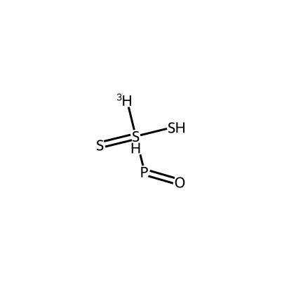 [3H][SH](=S)(S)P=O